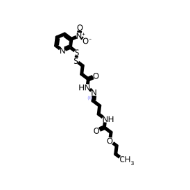 CCCOCC(=O)NCC/C=N/NC(=O)CCSSc1ncccc1[N+](=O)[O-]